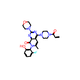 C=CC(=O)N1CCN(c2nc(N3CCOCC3)nc3c(=O)n(-c4c(O)cccc4F)c(C)cc23)CC1